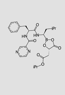 CC(C)C[C@H](NC(=O)[C@H](Cc1ccccc1)NC(=O)c1cnccn1)B1OC(=O)[C@H](CC(=O)OC(C)C)O1